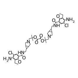 CC(C)(CN1CC2C(CNC(=O)c3cc(Cl)c(N)c4c3OCC4)C2C1)OC(=O)C(=O)OC(C)(C)CN1CC2C(CNC(=O)c3cc(Cl)c(N)c4c3OCC4)C2C1